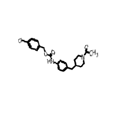 CC(=O)N1CCC(Cc2ccc(NC(=O)OCc3ccc(Cl)cc3)cc2)CC1